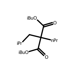 CCCC(CC(C)C)(C(=O)OCC(C)C)C(=O)OCC(C)C